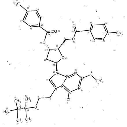 CSc1nc(Cl)c2c(CCO[Si](C)(C)C(C)(C)C)cn([C@H]3C[C@H](OC(=O)c4ccc(C)cc4)[C@@H](COC(=O)c4ccc(C)cc4)O3)c2n1